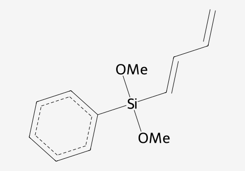 C=CC=C[Si](OC)(OC)c1ccccc1